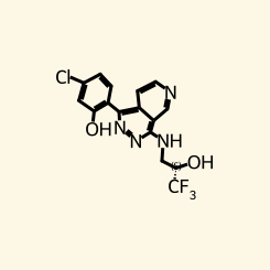 Oc1cc(Cl)ccc1-c1nnc(NC[C@H](O)C(F)(F)F)c2cnccc12